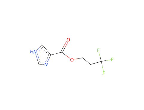 O=C(OCCC(F)(F)F)c1c[nH]cn1